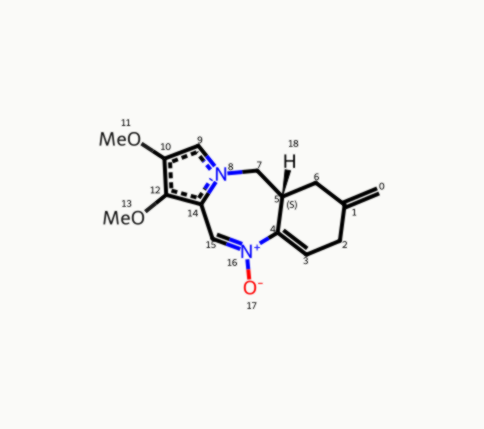 C=C1CC=C2[C@@H](C1)Cn1cc(OC)c(OC)c1C=[N+]2[O-]